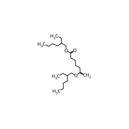 C=C(CCCCC(=O)OCC(CC)CCCC)OCC(CC)CCCC